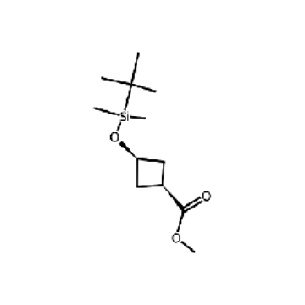 COC(=O)[C@H]1C[C@@H](O[Si](C)(C)C(C)(C)C)C1